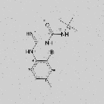 Cc1ccc(NC(=N)NC(=O)NC(C)(C)C)c(Br)c1